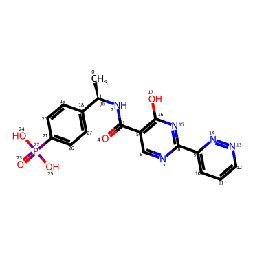 C[C@@H](NC(=O)c1cnc(-c2cccnn2)nc1O)c1ccc(P(=O)(O)O)cc1